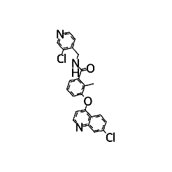 Cc1c(Oc2ccnc3cc(Cl)ccc23)cccc1C(=O)NCc1ccncc1Cl